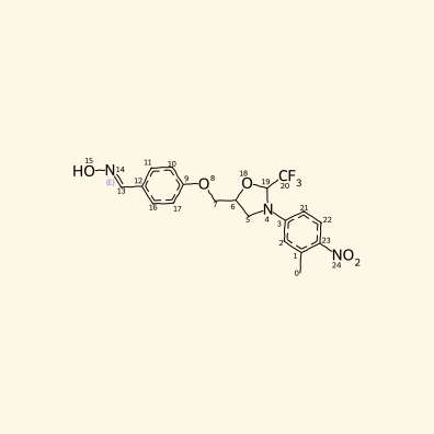 Cc1cc(N2CC(COc3ccc(/C=N/O)cc3)OC2C(F)(F)F)ccc1[N+](=O)[O-]